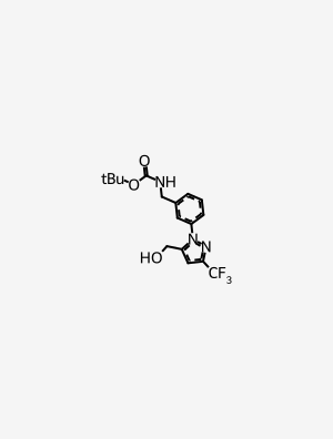 CC(C)(C)OC(=O)NCc1cccc(-n2nc(C(F)(F)F)cc2CO)c1